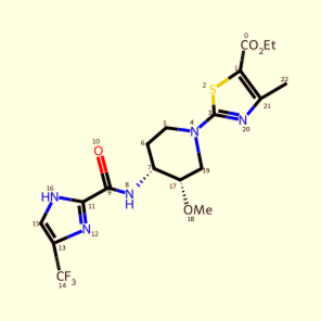 CCOC(=O)c1sc(N2CC[C@@H](NC(=O)c3nc(C(F)(F)F)c[nH]3)[C@@H](OC)C2)nc1C